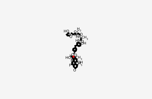 C[C@H](NC(=O)CCN1C(=O)C=CC1O)C(=O)N[C@@H](C)C(=O)Nc1cc(Cc2ccc([C@@H]3O[C@@H]4C[C@H]5[C@@H]6C[C@H](F)C7=CC(=O)C=C[C@]7(C)[C@@]6(F)[C@@H](O)C[C@]5(C)[C@]4(C(=O)CO)O3)cc2)ccc1O